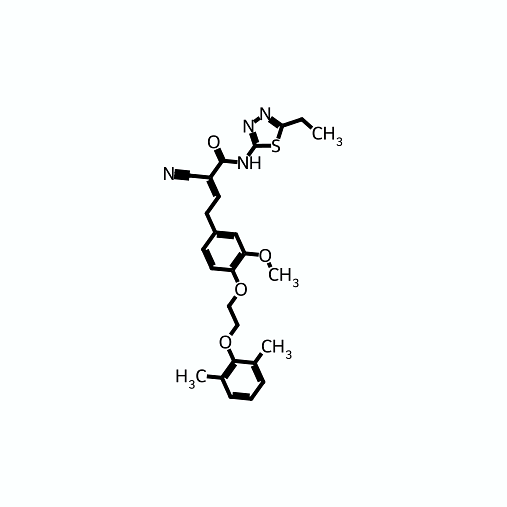 CCc1nnc(NC(=O)/C(C#N)=C/Cc2ccc(OCCOc3c(C)cccc3C)c(OC)c2)s1